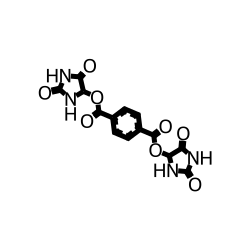 O=C1NC(=O)C(OC(=O)c2ccc(C(=O)OC3NC(=O)NC3=O)cc2)N1